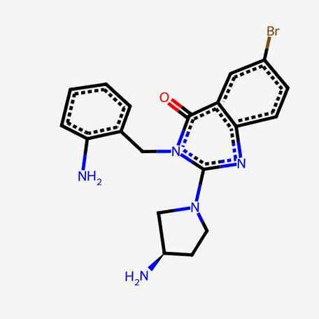 Nc1ccccc1Cn1c(N2CC[C@@H](N)C2)nc2ccc(Br)cc2c1=O